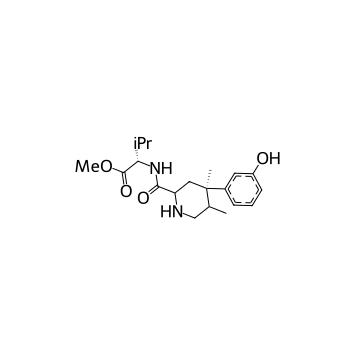 COC(=O)[C@@H](NC(=O)C1C[C@@](C)(c2cccc(O)c2)C(C)CN1)C(C)C